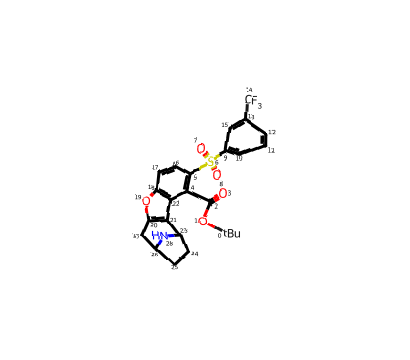 CC(C)(C)OC(=O)c1c(S(=O)(=O)c2cccc(C(F)(F)F)c2)ccc2oc3c(c12)C1CCC(C3)N1